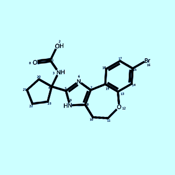 O=C(O)NC1(c2nc3c([nH]2)CCOc2cc(Br)ccc2-3)CCCC1